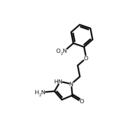 Nc1cc(=O)n(CCOc2ccccc2[N+](=O)[O-])[nH]1